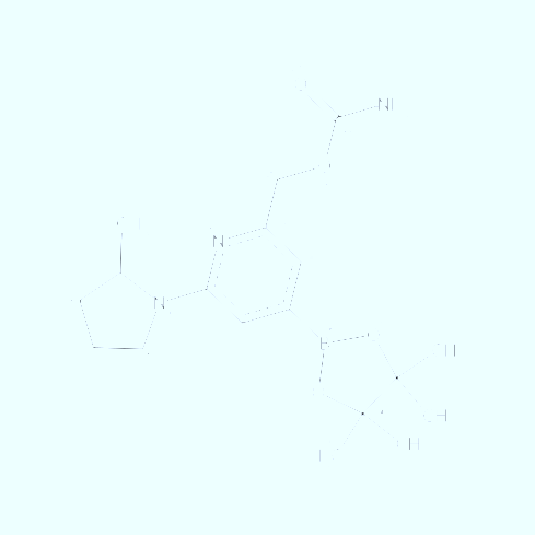 CC1CCCN1c1cc(B2OC(C)(C)C(C)(C)O2)cc(COC(N)=O)n1